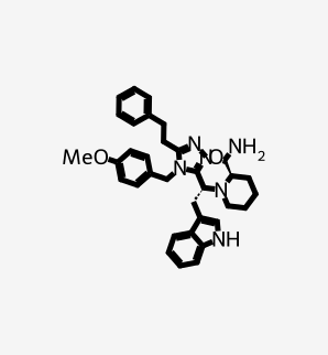 COc1ccc(Cn2c(CCc3ccccc3)nnc2[C@@H](Cc2c[nH]c3ccccc23)N2CCCC[C@@H]2C(N)=O)cc1